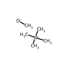 C[N+](C)(C)C.C[O-]